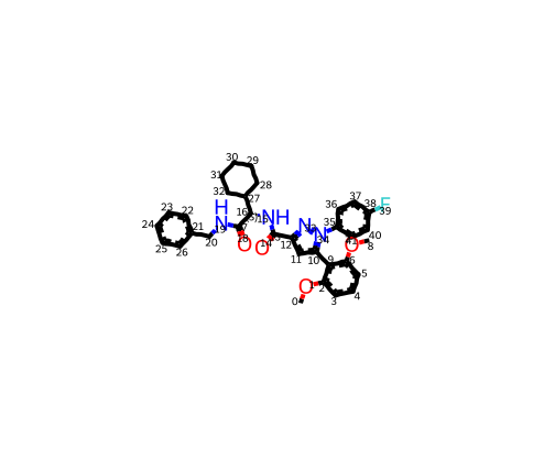 COc1cccc(OC)c1-c1cc(C(=O)N[C@H](C(=O)NCc2ccccc2)C2CCCCC2)nn1-c1ccc(F)cc1